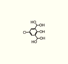 Oc1c(C(O)O)cc(Cl)cc1C(O)O